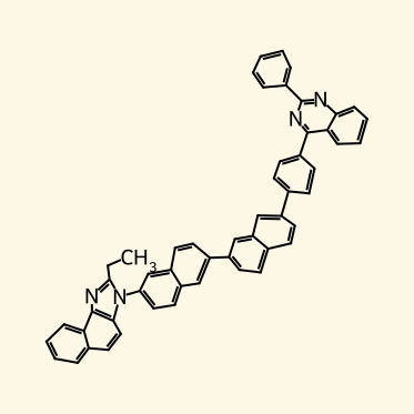 CCc1nc2c3ccccc3ccc2n1-c1ccc2cc(-c3ccc4ccc(-c5ccc(-c6nc(-c7ccccc7)nc7ccccc67)cc5)cc4c3)ccc2c1